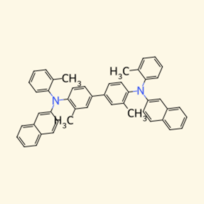 Cc1ccccc1N(c1ccc2ccccc2c1)c1ccc(-c2ccc(N(c3ccc4ccccc4c3)c3ccccc3C)c(C)c2)cc1C